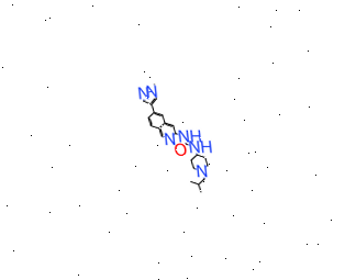 CC(C)CN1CCC(NC(=O)Nc2cc3cc(-c4cnn(C)c4)ccc3cn2)CC1